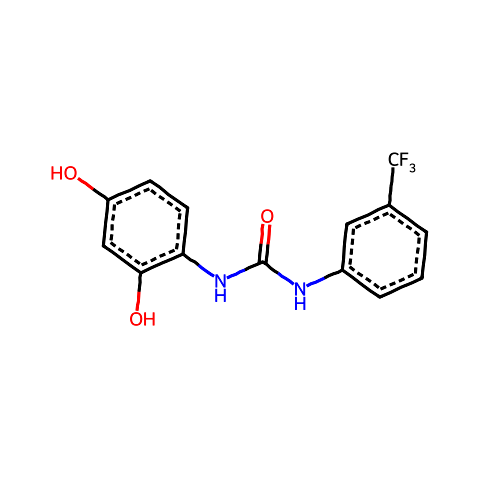 O=C(Nc1cccc(C(F)(F)F)c1)Nc1ccc(O)cc1O